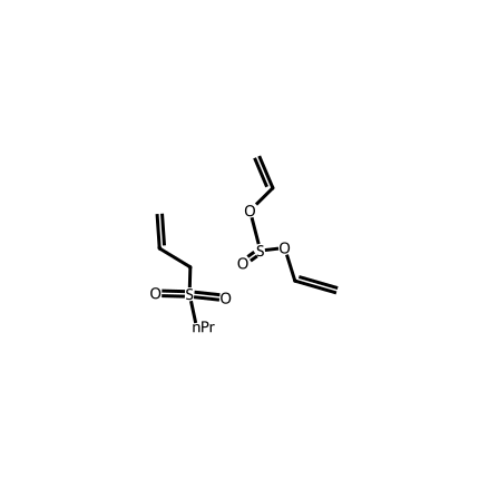 C=CCS(=O)(=O)CCC.C=COS(=O)OC=C